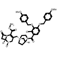 BOC(=O)C1=C(C[N@@+]23CC[C@@H](C2)N(C(=O)c2ccc(OCc4ccc(OC)cc4)c(OCc4ccc(OC)cc4)c2Cl)CC3)C[S+]([O-])[C@@H]2CC(=O)N12